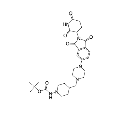 CC(C)(C)OC(=O)NN1CCC(CN2CCN(c3ccc4c(c3)C(=O)N(C3CCC(=O)NC3=O)C4=O)CC2)CC1